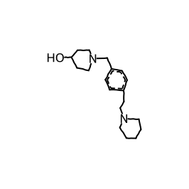 OC1CCN(Cc2ccc(CCN3CCCCC3)cc2)CC1